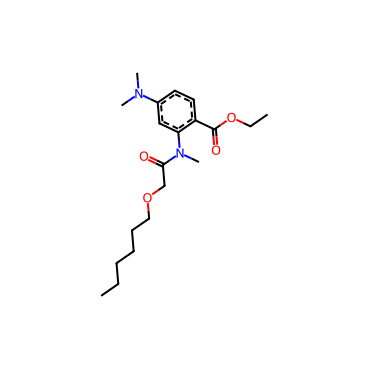 CCCCCCOCC(=O)N(C)c1cc(N(C)C)ccc1C(=O)OCC